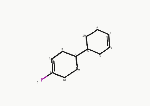 IC1=CCC(C2CC=CCC2)CC1